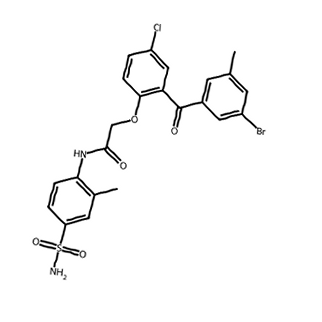 Cc1cc(Br)cc(C(=O)c2cc(Cl)ccc2OCC(=O)Nc2ccc(S(N)(=O)=O)cc2C)c1